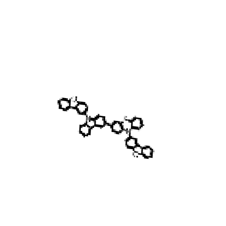 c1ccc2c(c1)Sc1cc(-c3ccc4c(c3)c3ccccc3n4-c3ccc4oc5ccccc5c4c3)ccc1N2c1ccc2oc3ccccc3c2c1